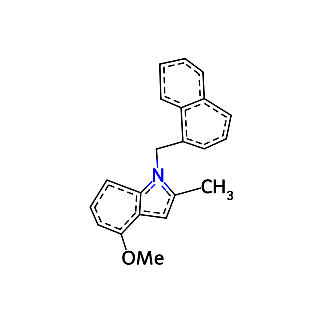 COc1cccc2c1cc(C)n2Cc1cccc2ccccc12